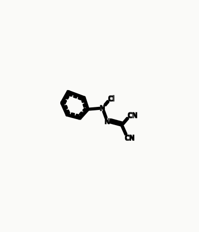 N#CC(C#N)=NN(Cl)c1ccccc1